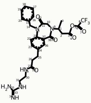 CC(CC(=O)OC(=O)C(F)(F)F)N1CC(=O)N(Cc2ccccc2)c2ccc(CCC(=O)NCCNC(=N)N)cc2C1=O